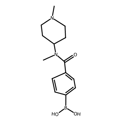 CN1CCC(N(C)C(=O)c2ccc(B(O)O)cc2)CC1